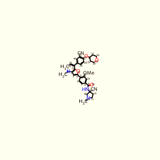 C=Nc1cc(-c2ccc(C(=O)NC3(C#N)CCN(C)C3)cc2OC)oc1/C(=C\C)c1ccc(OC2CCOCC2)c(C#N)c1